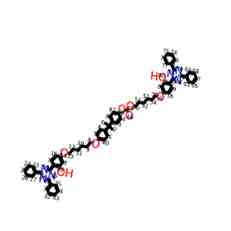 CC(C)(c1ccc(OCCCCCCOc2ccc(-c3nc(-c4ccccc4)nc(-c4ccccc4)n3)c(O)c2)cc1)c1ccc(OC(=O)OCCCCCCOc2ccc(-c3nc(-c4ccccc4)nc(-c4ccccc4)n3)c(O)c2)cc1